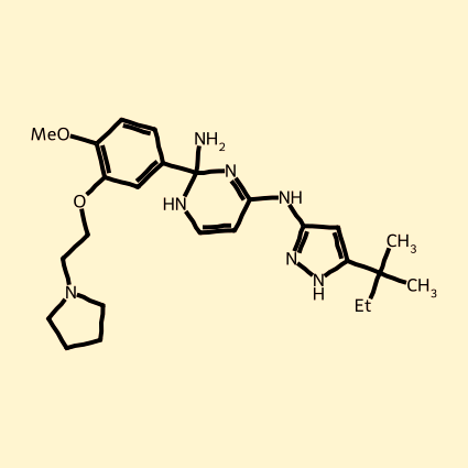 CCC(C)(C)c1cc(NC2=NC(N)(c3ccc(OC)c(OCCN4CCCC4)c3)NC=C2)n[nH]1